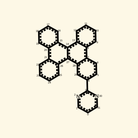 c1cnc(-c2ccc3c4ccccc4c4c5ccccc5c5ccccc5c4c3c2)nc1